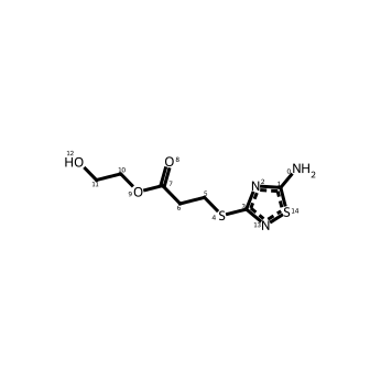 Nc1nc(SCCC(=O)OCCO)ns1